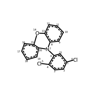 Clc1ccc(Cl)c(N2c3ccccc3Oc3ccccc32)c1